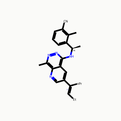 CC/C=C(\CCC)c1cnc2c(C)nnc(N[C@H](C)c3cccc(C#N)c3C)c2c1